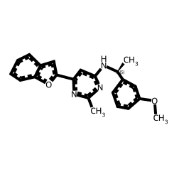 COc1cccc([C@H](C)Nc2cc(-c3cc4ccccc4o3)nc(C)n2)c1